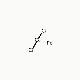 [Cl][Ca][Cl].[Fe]